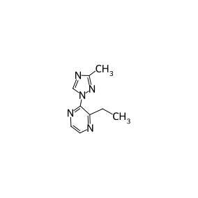 CCc1nccnc1-n1cnc(C)n1